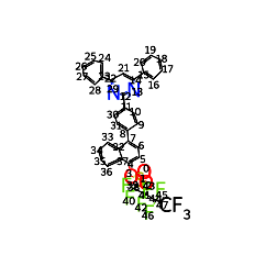 O=S(=O)(Oc1ccc(-c2ccc(-c3nc(-c4ccccc4)cc(-c4ccccc4)n3)cc2)c2ccccc12)C(F)(F)C(F)(F)C(F)(F)C(F)(F)F